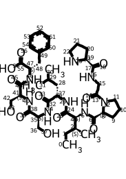 CC[C@H](C)[C@H](NC(=O)[C@@H]1CCCN1C(=O)CNC(=O)[C@@H]1CCCN1)C(=O)N[C@@H](CC(C)C)C(=O)N[C@@H](CO)C(=O)N[C@@H](CO)C(=O)N[C@@H](Cc1ccccc1)C(=O)O